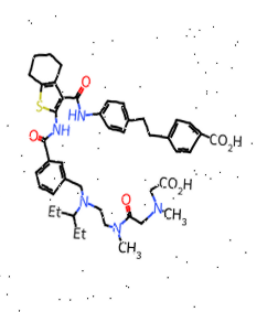 CCC(CC)N(CCN(C)C(=O)CN(C)CC(=O)O)Cc1cccc(C(=O)Nc2sc3c(c2C(=O)Nc2ccc(CCc4ccc(C(=O)O)cc4)cc2)CCCC3)c1